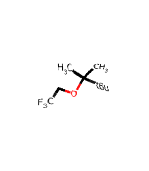 CC(C)(C)C(C)(C)OCC(F)(F)F